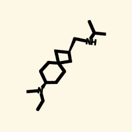 CCN(C)[C@H]1CCC2(CC1)C[C@H](CNC(C)C)C2